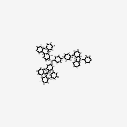 c1ccc(-n2c3ccccc3c3c(-c4ccc(-c5ccc(N(c6ccc7c(c6)-c6ccccc6C76c7ccccc7-c7ccccc76)c6ccc7c8ccccc8c8ccccc8c7c6)cc5)cc4)cccc32)cc1